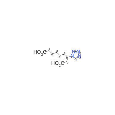 O=C(O)CCCCCC(CC(=O)O)n1cnnn1